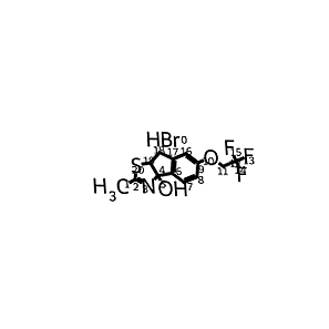 Br.CC1=NC2(O)c3ccc(OCC(F)(F)F)cc3CC2S1